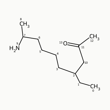 CCC(CCCCC(C)N)CC(C)=O